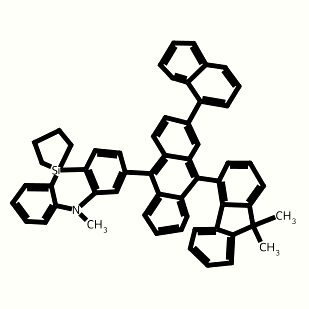 CN1c2ccccc2[Si]2(CCCC2)c2ccc(-c3c4ccccc4c(-c4cccc5c4-c4ccccc4C5(C)C)c4cc(-c5cccc6ccccc56)ccc34)cc21